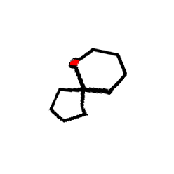 C1CCC2(C1)CCCCC21OCCO1